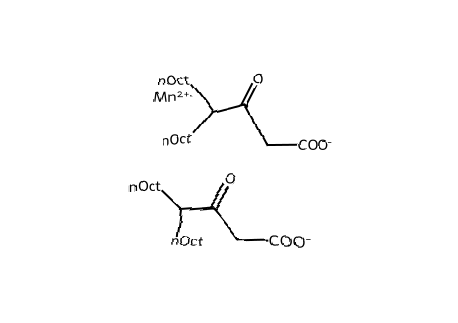 CCCCCCCCC(CCCCCCCC)C(=O)CC(=O)[O-].CCCCCCCCC(CCCCCCCC)C(=O)CC(=O)[O-].[Mn+2]